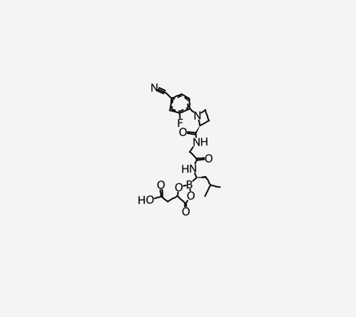 CC(C)C[C@H](NC(=O)CNC(=O)[C@@H]1CCN1c1ccc(C#N)cc1F)B1OC(=O)C(CC(=O)O)O1